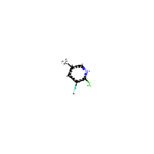 Fc1cc(C(F)(F)F)cnc1Cl